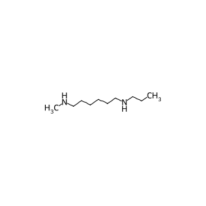 CCCNCCCCCCNC